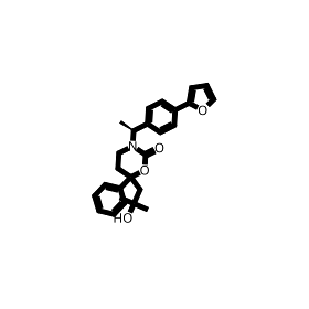 C[C@@H](c1ccc(-c2ccco2)cc1)N1CCC(CC(C)(C)O)(c2ccccc2)OC1=O